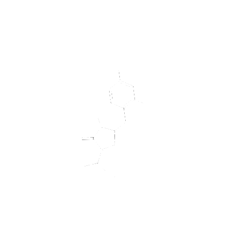 CCN1C(=O)N(C(C)C(=O)O)CC1Cc1ccc(Cl)cc1Cl